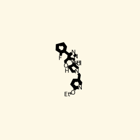 CCOc1ccc(CN2C[C@@H]3OCc4c(-c5ccccc5F)nnn4[C@H]3C2)cn1.Cl